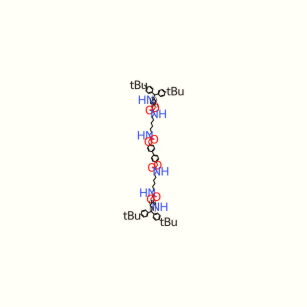 CC(C)(C)c1ccc(C(c2ccc(C(C)(C)C)cc2)[C@H]2C[C@@H](OC(=O)NCCCCCCNC(=O)Oc3ccc(-c4ccc(OC(=O)NCCCCCCNC(=O)O[C@H]5CN[C@@H](C(c6ccc(C(C)(C)C)cc6)c6ccc(C(C)(C)C)cc6)C5)cc4)cc3)CN2)cc1